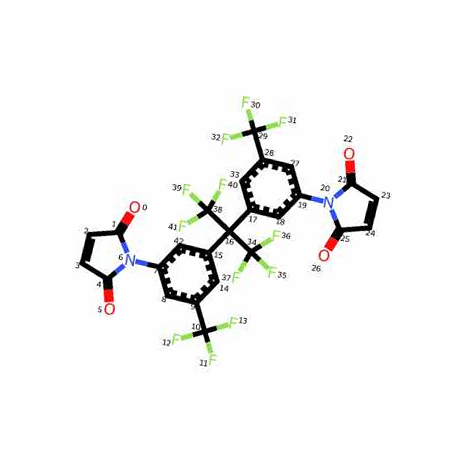 O=C1C=CC(=O)N1c1cc(C(F)(F)F)cc(C(c2cc(N3C(=O)C=CC3=O)cc(C(F)(F)F)c2)(C(F)(F)F)C(F)(F)F)c1